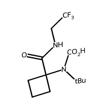 CC(C)(C)N(C(=O)O)C1(C(=O)NCC(F)(F)F)CCC1